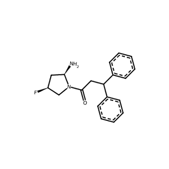 N[C@@H]1C[C@H](F)CN1C(=O)CC(c1ccccc1)c1ccccc1